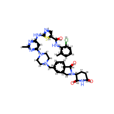 Cc1nc(Nc2ncc(C(=O)Nc3c(C)cccc3Cl)s2)cc(N2CCN(Cc3ccc4c(c3)CN(C3CCC(=O)NC3=O)C4=O)CC2)n1